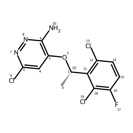 C[C@H](Oc1cc(Cl)nnc1N)c1c(Cl)ccc(F)c1Cl